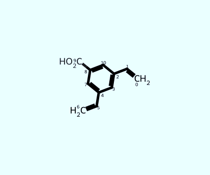 C=Cc1cc(C=C)cc(C(=O)O)c1